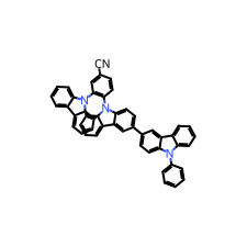 N#Cc1ccc(-n2c3ccccc3c3cc(-c4ccc5c(c4)c4ccccc4n5-c4ccccc4)ccc32)c(-n2c3ccccc3c3ccccc32)c1